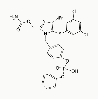 CC(C)c1nc(COC(N)=O)n(Cc2ccc(OP(=O)(O)Oc3ccccc3)cc2)c1Sc1cc(Cl)cc(Cl)c1